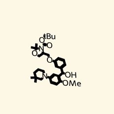 COc1ccc(N2CCCC(C)(C)C2)cc1C(O)c1cccc(OCC2COC(C)(C)N2C(=O)OC(C)(C)C)c1